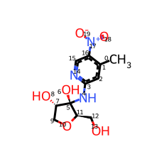 Cc1cc(N[C@@]2(O)[C@@H](O)CO[C@@H]2CO)ncc1[N+](=O)[O-]